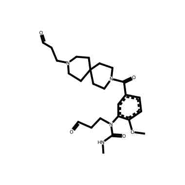 CNC(=O)N(CCC=O)c1cc(C(=O)N2CCC3(CCN(CCC=O)CC3)CC2)ccc1OC